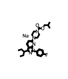 CCC(CC)c1nn(-c2ccc(F)cc2)c2nc(N3CCN(C(=O)OCC(C)C)CC3)ccc12.[Na]